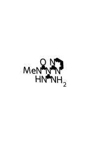 CNC(=O)N(C(=N)N)c1ncccn1